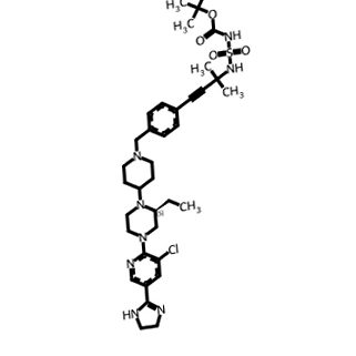 CC[C@H]1CN(c2ncc(C3=NCCN3)cc2Cl)CCN1C1CCN(Cc2ccc(C#CC(C)(C)NS(=O)(=O)NC(=O)OC(C)(C)C)cc2)CC1